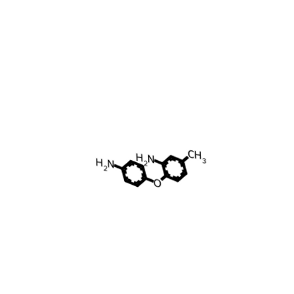 Cc1ccc(Oc2ccc(N)cc2)c(N)c1